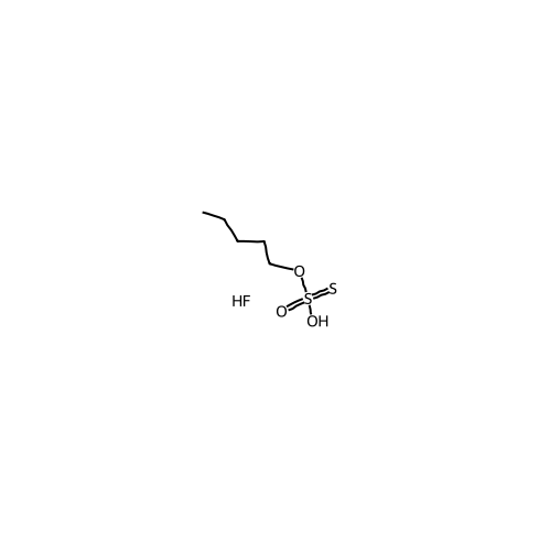 CCCCCOS(=O)(O)=S.F